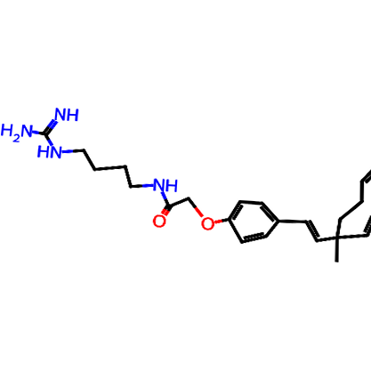 C=CC(C)(/C=C/c1ccc(OCC(=O)NCCCCNC(=N)N)cc1)CCC=C(C)C